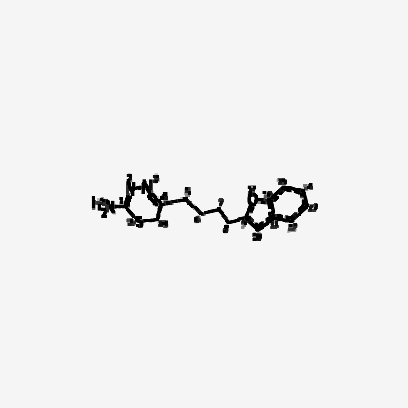 NC1=NN=C(CCCCc2cc3ccccc3o2)CS1